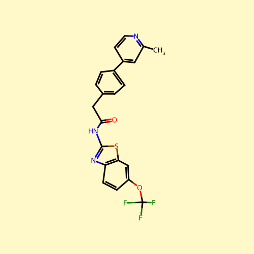 Cc1cc(-c2ccc(CC(=O)Nc3nc4ccc(OC(F)(F)F)cc4s3)cc2)ccn1